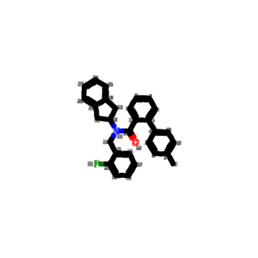 Cc1ccc(-c2ccccc2C(=O)N(Cc2ccccc2F)C2Cc3ccccc3C2)cc1